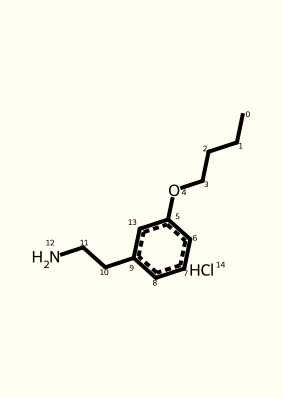 CCCCOc1cccc(CCN)c1.Cl